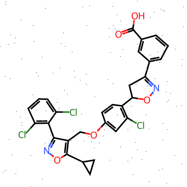 O=C(O)c1cccc(C2=NOC(c3ccc(OCc4c(-c5c(Cl)cccc5Cl)noc4C4CC4)cc3Cl)C2)c1